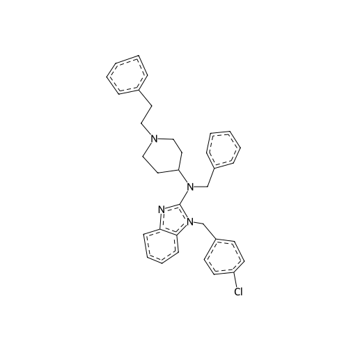 Clc1ccc(Cn2c(N(Cc3ccccc3)C3CCN(CCc4ccccc4)CC3)nc3ccccc32)cc1